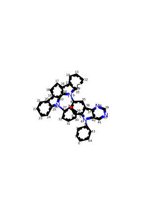 c1ccc(-n2c3ccc(-n4c5ccccc5c5ccc6c7ccccc7n(-c7ccccc7)c6c54)cc3c3ncncc32)cc1